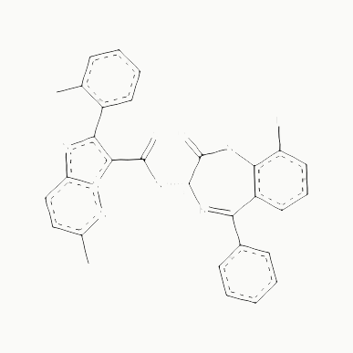 Cc1ccc2nc(-c3ccccc3F)c(C(=O)N[C@H]3N=C(c4ccccc4)c4cccc(F)c4NC3=O)n2n1